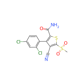 CS(=O)(=O)c1sc(C(N)=O)c(-c2ccc(Cl)cc2Cl)c1C#N